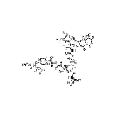 CC[C@@]1(O)C(=O)OCc2c1cc1n(c2=O)Cc2c-1nc1cc(F)c(C)c3c1c2[C@@H](NC(=O)CNC(=O)[C@H](CCCNC(=N)N)NC(=O)[C@@H](NC(=O)CNC(=O)[C@H](CC(C)C)NC(=O)[C@@H]1CCCN1C(=O)CNC(C)C)C(C)C)CC3